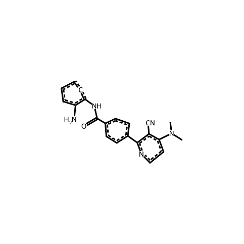 CN(C)c1ccnc(-c2ccc(C(=O)Nc3ccccc3N)cc2)c1C#N